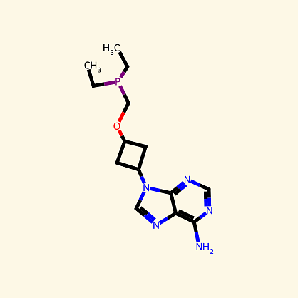 CCP(CC)COC1CC(n2cnc3c(N)ncnc32)C1